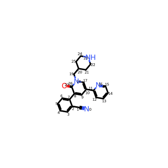 N#Cc1ccccc1-c1cc(-c2ccccn2)cn(CC2CCNCC2)c1=O